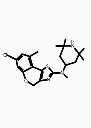 Cc1cc(Cl)cc2c1-c1sc(N(C)C3CC(C)(C)NC(C)(C)C3)nc1CO2